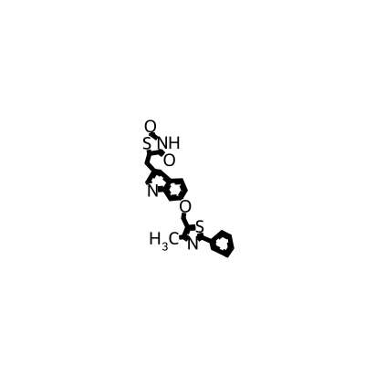 Cc1nc(-c2ccccc2)sc1COc1ccc2cc(CC3SC(=O)NC3=O)cnc2c1